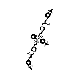 Cc1nc2cc(OC[C@H](O)CN3CCN(CCS(=O)(=O)N(c4ccccc4)N(c4ccc(C(F)(F)F)cc4)S(=O)(=O)CCN4CCN(C[C@@H](O)COc5ccc6sc(C)nc6c5)CC4)CC3)ccc2s1